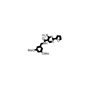 COc1cc(CNC(=O)c2cnc(-c3ccco3)nc2N)cc(OC)c1